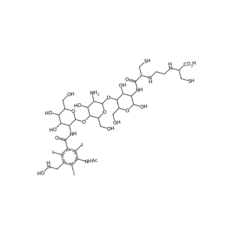 CC(=O)Nc1c(I)c(CNO)c(I)c(C(=O)NC2C(OC3C(CO)OC(OC4C(CO)OC(O)C(NC(=O)C(CS)NCCNC(CS)C(=O)O)C4O)C(N)C3O)OC(CO)C(O)C2O)c1I